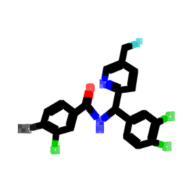 N#Cc1ccc(C(=O)NC(c2ccc(Cl)c(Cl)c2)c2ccc(CF)cn2)cc1Cl